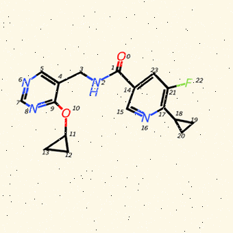 O=C(NCc1cncnc1OC1CC1)c1cnc(C2CC2)c(F)c1